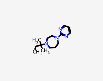 CCC(C)(C)N1CCCN(c2ncccn2)CC1